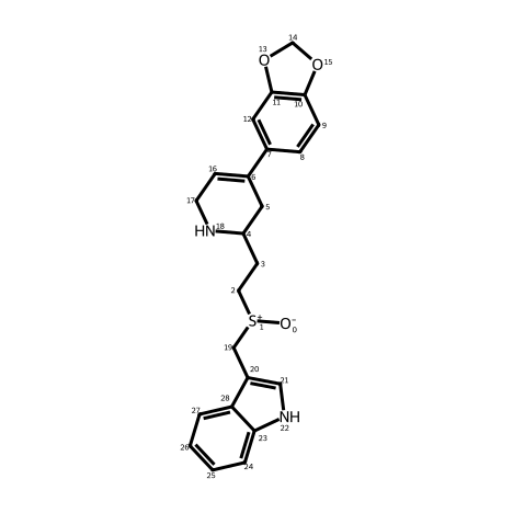 [O-][S+](CCC1CC(c2ccc3c(c2)OCO3)=CCN1)Cc1c[nH]c2ccccc12